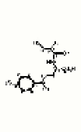 CCC(SC[C@H](NC(=O)[C@H](C)CS)C(=O)O)c1ccc(C(C)C)cc1